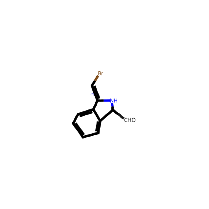 O=CC1N/C(=C\Br)c2ccccc21